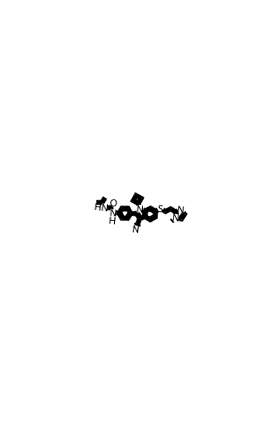 CC(C)NC(=O)Nc1ccc(-c2c(C#N)c3ccc(SCCc4nccn4C)cc3n2C2CCC2)cc1